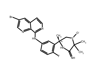 CC1(C)C(=N)N[C@](C)(c2cc(Nc3nccc4cc(Br)cnc34)ccc2F)C[S+]1[O-]